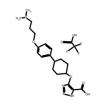 CN(C)CCCOc1ccc(C2CCC(Oc3nn[nH]c3C(=O)O)CC2)cc1.O=C(O)C(F)(F)F